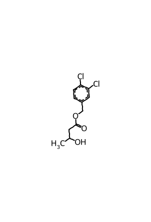 CC(O)CC(=O)OCc1ccc(Cl)c(Cl)c1